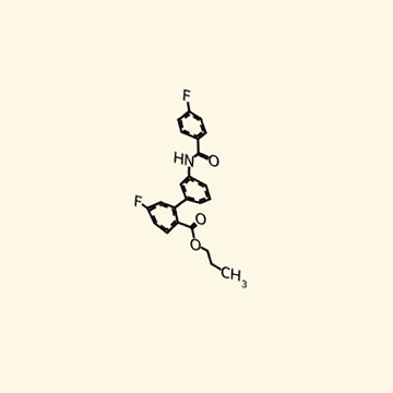 CCCOC(=O)c1ccc(F)cc1-c1cccc(NC(=O)c2ccc(F)cc2)c1